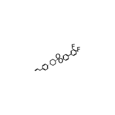 C=CCc1ccc([C@H]2CC[C@H](C(=O)Oc3ccc(-c4ccc(F)c(F)c4)cc3)CC2)cc1